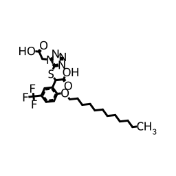 CCCCCCCCCCCCOc1ccc(C(F)(F)F)cc1C(Sc1nnnn1CC(=O)O)C(=O)O